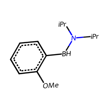 COc1ccccc1BN(C(C)C)C(C)C